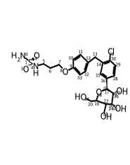 NS(=O)(=O)NCCCOc1ccc(Cc2cc([C@@H]3OC(CO)C(O)[C@H](O)[C@H]3O)ccc2Cl)cc1